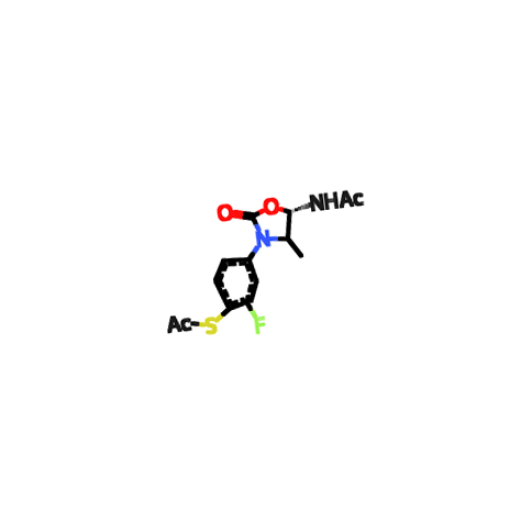 CC(=O)N[C@H]1OC(=O)N(c2ccc(SC(C)=O)c(F)c2)C1C